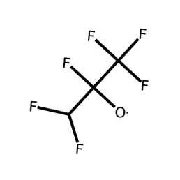 [O]C(F)([C](F)F)C(F)(F)F